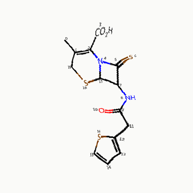 CC1=C(C(=O)O)N2C(=S)C(NC(=O)Cc3cccs3)C2SC1